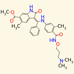 COC(=O)c1cc2c(cc1C)/C(=C(/Nc1ccc(C(=O)NOCCCN(C)C)c(C)c1)c1ccccc1)C(=O)N2